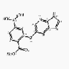 COC(=O)c1ccc(B(O)O)cc1Oc1cnc2[nH]ccc2c1